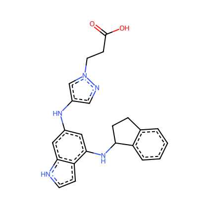 O=C(O)CCn1cc(Nc2cc(NC3CCc4ccccc43)c3cc[nH]c3c2)cn1